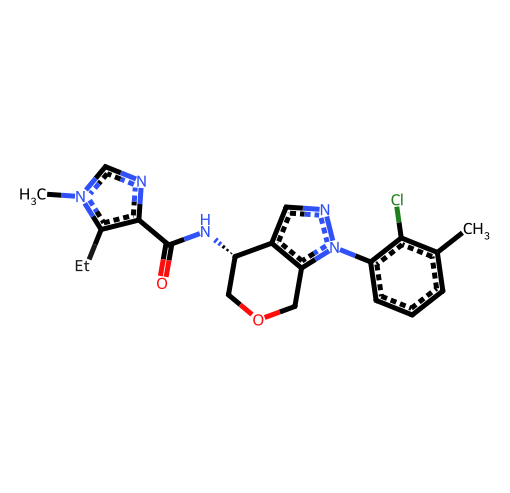 CCc1c(C(=O)N[C@H]2COCc3c2cnn3-c2cccc(C)c2Cl)ncn1C